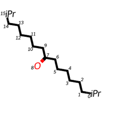 CC(C)CCCCCCC(=O)CCCCCCC(C)C